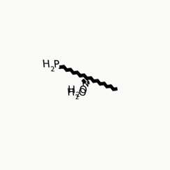 CCCCCCCCCCCCCCCCCCP.CN(C)C.O.O